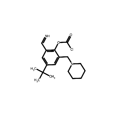 CC(C)(C)c1cc(C=N)c(OC(=O)Cl)c(CN2CCCCC2)c1